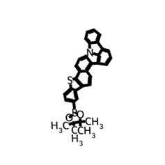 CC1(C)OB(c2ccc3sc4c(ccc5c4ccc4c5c5cccc6c7ccccc7n4c65)c3c2)OC1(C)C